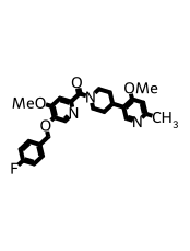 COc1cc(C(=O)N2CCC(c3cnc(C)cc3OC)CC2)ncc1OCc1ccc(F)cc1